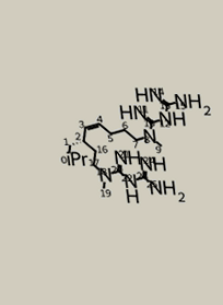 CC(C)C[C@H](/C=C\CCCN(C)C(=N)NC(=N)N)CCN(C)C(=N)NC(=N)N